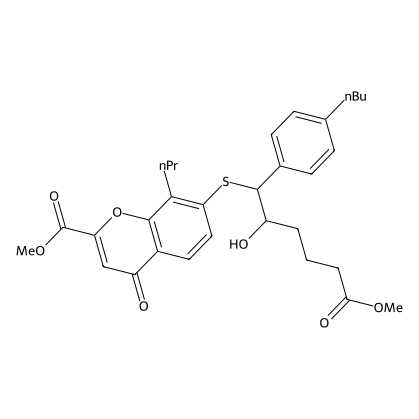 CCCCc1ccc(C(Sc2ccc3c(=O)cc(C(=O)OC)oc3c2CCC)C(O)CCCC(=O)OC)cc1